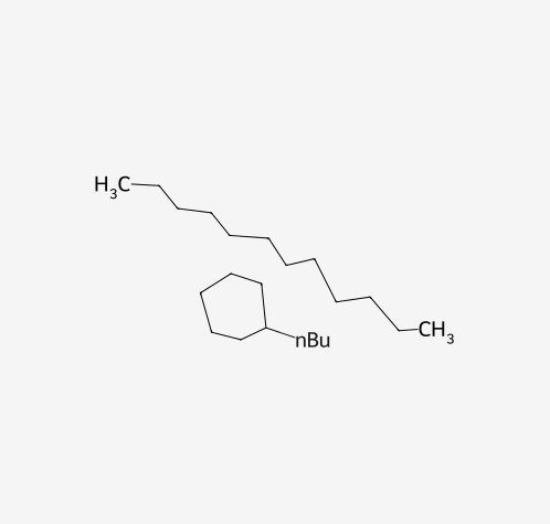 CCCCC1CCCCC1.CCCCCCCCCCCC